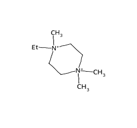 CC[N+]1(C)CC[N+](C)(C)CC1